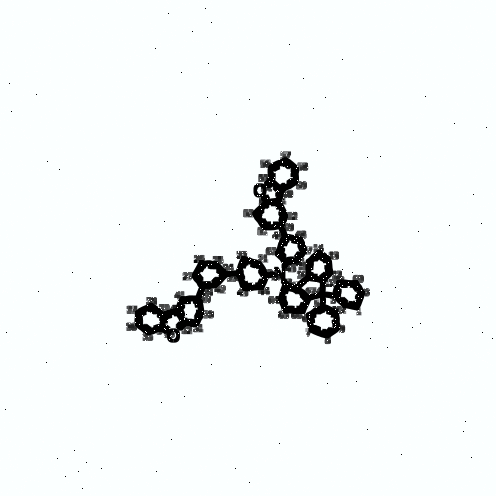 c1ccc(C2(c3ccccc3)c3ccccc3-c3c(N(c4ccc(-c5cccc(-c6ccc7oc8ccccc8c7c6)c5)cc4)c4cccc(-c5ccc6oc7ccccc7c6c5)c4)cccc32)cc1